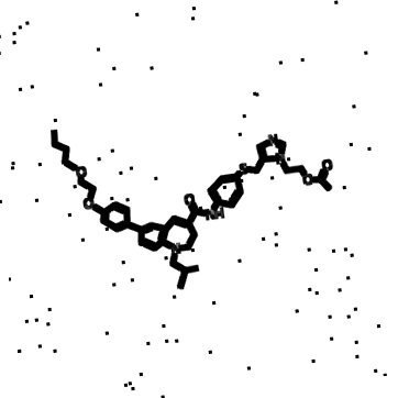 CCCCOCCOc1ccc(-c2ccc3c(c2)C=C(C(=O)Nc2ccc(SCc4cncn4CCOC(C)=O)cc2)CCN3CC(C)C)cc1